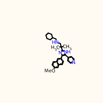 COc1ccc2cc(-c3nc(C(C)(C)CNCC4CCCCC4)[nH]c3-c3ccncc3)ccc2c1